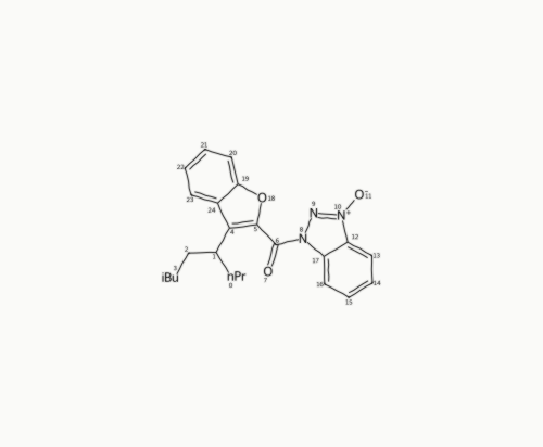 CCCC(CC(C)CC)c1c(C(=O)n2n[n+]([O-])c3ccccc32)oc2ccccc12